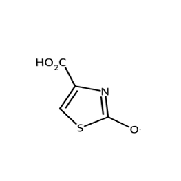 [O]c1nc(C(=O)O)cs1